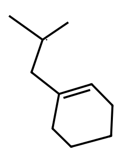 C[C](C)CC1=CCCCC1